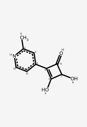 Cc1cc(C2=C(O)C(O)C2=O)ccn1